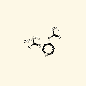 NC(=S)[S-].NC(=S)[S-].[Zn+2].c1ccncc1